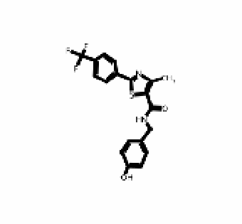 Cc1nc(-c2ccc(C(F)(F)F)cc2)sc1C(=O)NCc1ccc(O)cc1